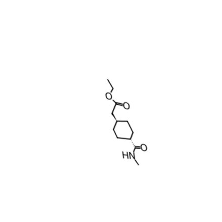 CCOC(=O)C[C@H]1CC[C@H](C(=O)NC)CC1